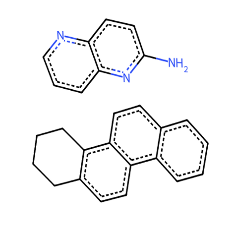 Nc1ccc2ncccc2n1.c1ccc2c(c1)ccc1c3c(ccc12)CCCC3